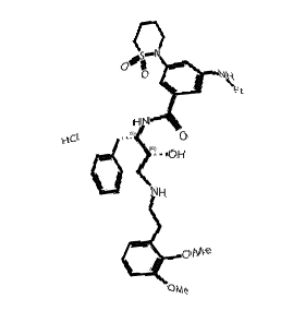 CCNc1cc(C(=O)N[C@@H](Cc2ccccc2)[C@H](O)CNCCc2cccc(OC)c2OC)cc(N2CCCCS2(=O)=O)c1.Cl